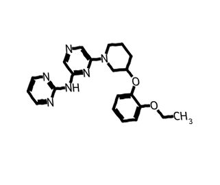 CCOc1ccccc1OC1CCCN(c2cncc(Nc3ncccn3)n2)C1